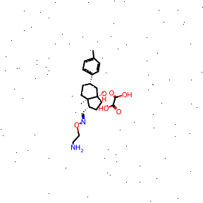 Cc1ccc([C@H]2CC[C@]3(C)[C@@H](C=NOCCN)CC[C@]3(O)C2)cc1.O=C(O)C(=O)O